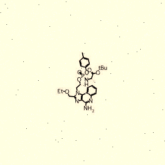 CCOCc1nc2c(N)nc3ccccc3c2n1C[C@@H](C)O[P@@](=O)(N[C@@H](C)C(=O)OC(C)(C)C)Oc1ccc(C)cc1